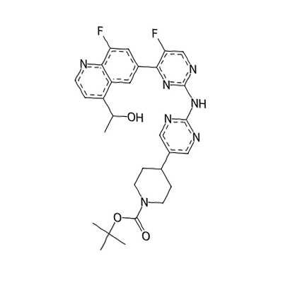 CC(O)c1ccnc2c(F)cc(-c3nc(Nc4ncc(C5CCN(C(=O)OC(C)(C)C)CC5)cn4)ncc3F)cc12